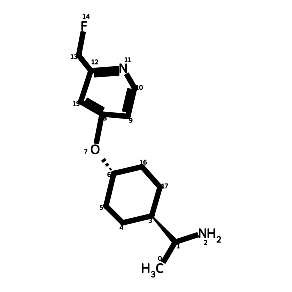 CC(N)[C@H]1CC[C@H](Oc2ccnc(CF)c2)CC1